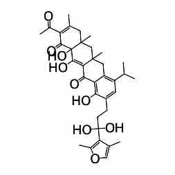 CC(=O)C1=C(C)CC2(C)CC3(C)Cc4c(C(C)C)cc(CCC(O)(O)c5c(C)coc5C)c(O)c4C(=O)C3=C(O)C2(O)C1=O